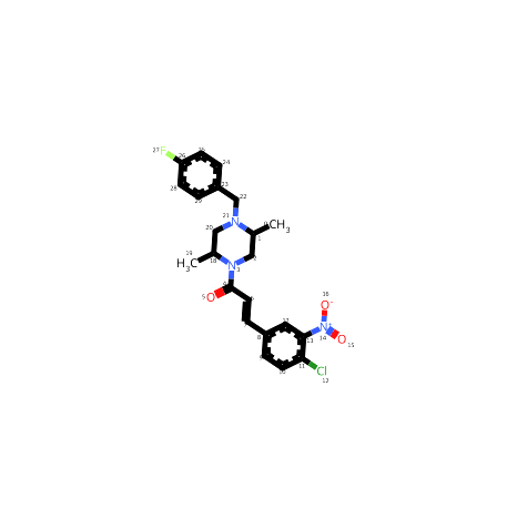 CC1CN(C(=O)C=Cc2ccc(Cl)c([N+](=O)[O-])c2)C(C)CN1Cc1ccc(F)cc1